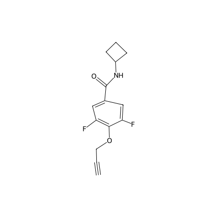 C#CCOc1c(F)cc(C(=O)NC2CCC2)cc1F